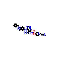 CCc1c(NC(=O)OC2CCN(CCC#N)CC2)cn2ncnc(Nc3ccc4c(cnn4Cc4ccccc4)c3)c12